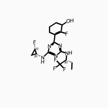 CC[C@@H](Nc1nc(N[C@@H]2C[C@@H]2F)nc(C2=C(F)C(O)CCC2)n1)C(F)(F)F